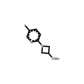 COC1CN(c2ccc(I)cn2)C1